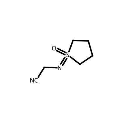 N#CCN=S1(=O)CCCC1